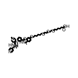 C[C@@H](NC(=O)c1cccc(NC2(c3nnc(-c4ccncc4)[nH]3)CCN(C)CC2)c1)c1ccc(OCCCCCCOCCOCCOCCCCCC(=O)O)cc1